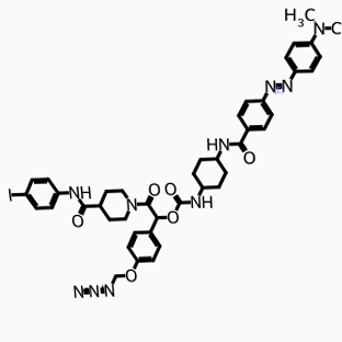 CN(C)c1ccc(/N=N/c2ccc(C(=O)NC3CCC(NC(=O)OC(C(=O)N4CCC(C(=O)Nc5ccc(I)cc5)CC4)c4ccc(OCN=[N+]=[N-])cc4)CC3)cc2)cc1